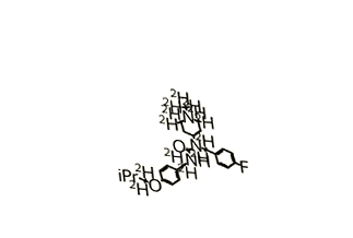 [2H]C([2H])(NC(=O)N(C1CC([2H])([2H])N(C([2H])([2H])[2H])C([2H])([2H])C1)C([2H])([2H])c1ccc(F)cc1)c1ccc(OC([2H])([2H])C(C)C)cc1